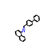 C(=Nc1cccc2ccccc12)c1ccc(-c2ccccc2)cc1